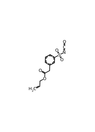 C=CCOC(=O)Cc1cccc(S(=O)(=O)N=C=O)c1